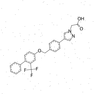 O=C(O)Cn1cc(-c2ccc(COc3ccc(-c4ccccc4)c(C(F)(F)F)c3)cc2)cn1